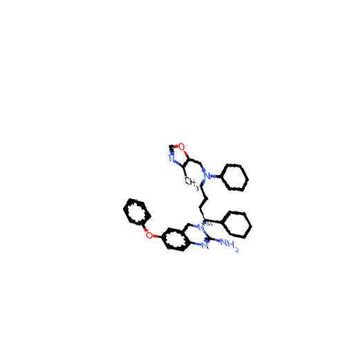 CC1N=COC1CN(CCC[C@@H](C1CCCCC1)N1Cc2cc(Oc3ccccc3)ccc2N=C1N)C1CCCCC1